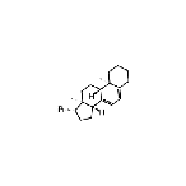 CC(C)[C@H]1CC[C@H]2C3=CC=C4CCCC[C@]4(C)[C@H]3CC[C@]12C